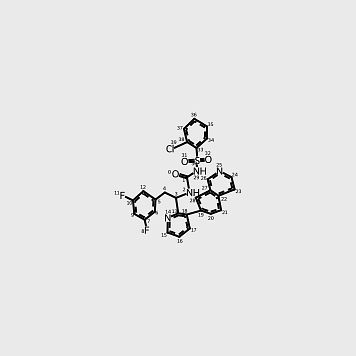 O=C(NC(Cc1cc(F)cc(F)c1)c1ncccc1-c1ccc2ccncc2c1)NS(=O)(=O)c1ccccc1Cl